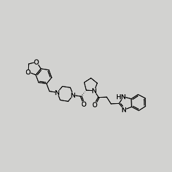 O=C([C@@H]1CCCN1C(=O)CCc1nc2ccccc2[nH]1)N1CCN(Cc2ccc3c(c2)OCO3)CC1